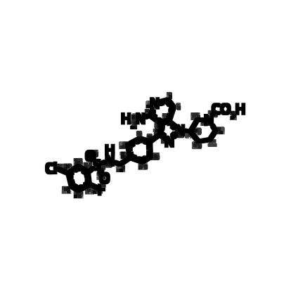 Nc1nccc2c1c(-c1ccc(CNS(=O)(=O)c3cc(Cl)ccc3F)cc1)nn2[C@@H]1CCCN(C(=O)O)C1